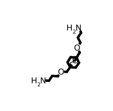 NCCCOCC12CCC(COCCCN)(CC1)CC2